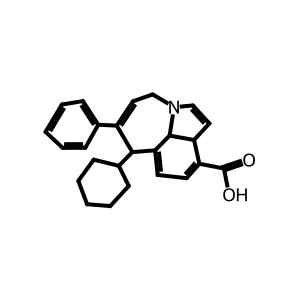 O=C(O)C1=CC=C2C(C3CCCCC3)C(c3ccccc3)=CCN3C=CC1C23